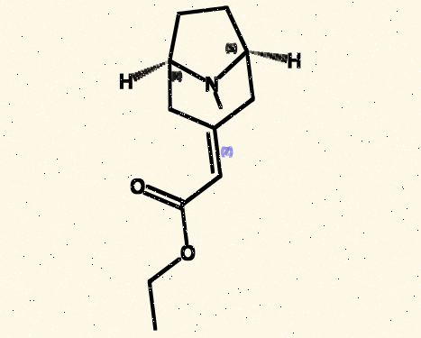 CCOC(=O)/C=C1\C[C@H]2CC[C@@H](C1)N2C